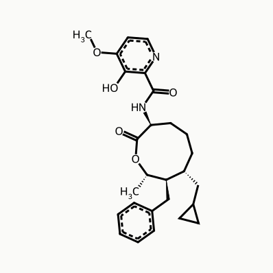 COc1ccnc(C(=O)N[C@H]2CCC[C@H](CC3CC3)[C@@H](Cc3ccccc3)[C@H](C)OC2=O)c1O